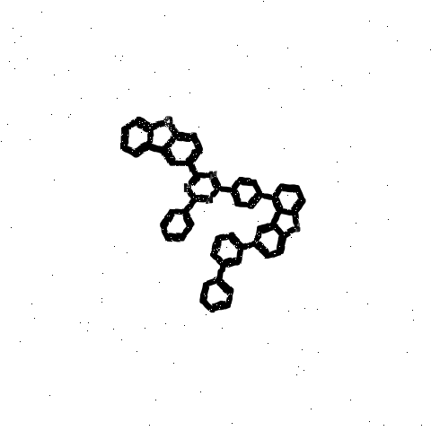 c1ccc(-c2cccc(-c3ccc4sc5cccc(-c6ccc(-c7nc(-c8ccccc8)nc(-c8ccc9oc%10ccccc%10c9c8)n7)cc6)c5c4c3)c2)cc1